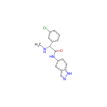 CNC(C(=O)Nc1ccc2[nH]ncc2c1)c1cccc(Cl)c1